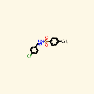 Cc1ccc(S(=O)(=O)N/N=C/c2ccc(Cl)cc2)cc1